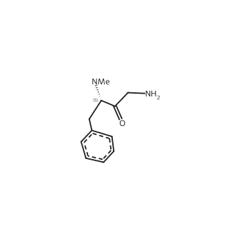 CN[C@@H](Cc1ccccc1)C(=O)CN